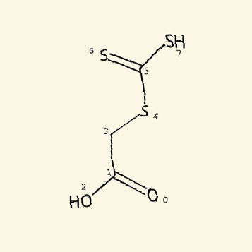 O=C(O)CSC(=S)S